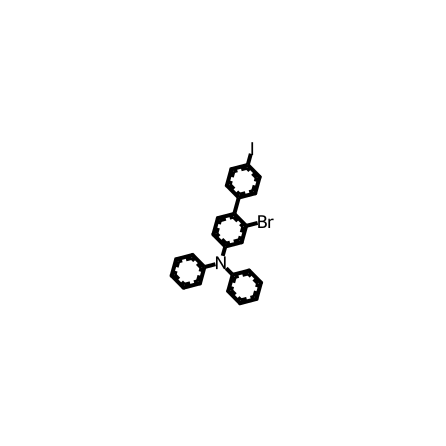 Brc1cc(N(c2ccccc2)c2ccccc2)ccc1-c1ccc(I)cc1